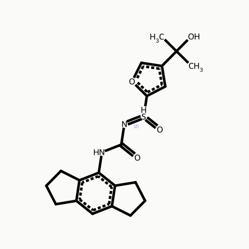 CC(C)(O)c1coc(/[SH](=O)=N/C(=O)Nc2c3c(cc4c2CCC4)CCC3)c1